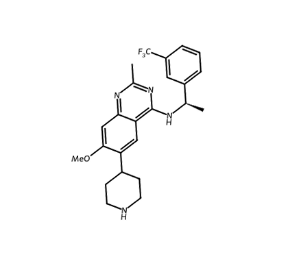 COc1cc2nc(C)nc(N[C@H](C)c3cccc(C(F)(F)F)c3)c2cc1C1CCNCC1